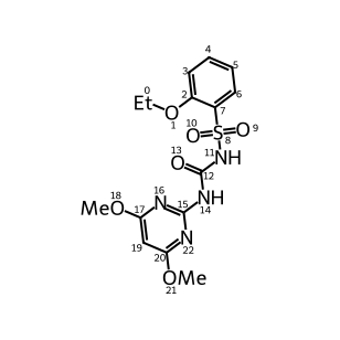 CCOc1ccccc1S(=O)(=O)NC(=O)Nc1nc(OC)cc(OC)n1